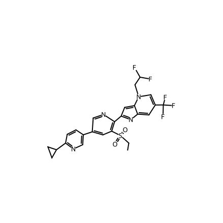 CCS(=O)(=O)c1cc(-c2ccc(C3CC3)nc2)cnc1-c1cc2n(CC(F)F)cc(C(F)(F)F)cc-2n1